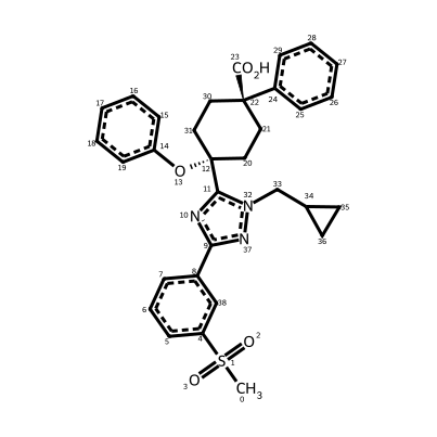 CS(=O)(=O)c1cccc(-c2nc([C@]3(Oc4ccccc4)CC[C@@](C(=O)O)(c4ccccc4)CC3)n(CC3CC3)n2)c1